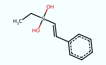 CC[Si](O)(O)/C=C/c1ccccc1